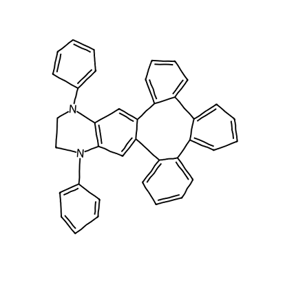 c1ccc(N2CCN(c3ccccc3)c3cc4c(cc32)-c2ccccc2-c2ccccc2-c2ccccc2-4)cc1